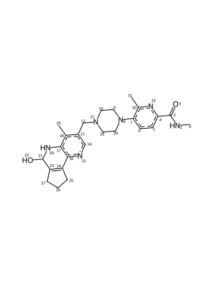 CNC(=O)c1ccc(N2CCN(Cc3cnc4c(c3C)NC(O)C3=C4CCC3)CC2)c(C)n1